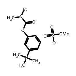 CCN(C)C(=O)Oc1cccc([N+](C)(C)C)c1.COS(=O)(=O)[O-]